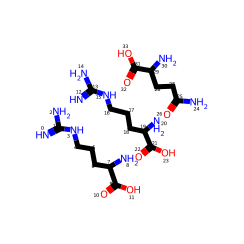 N=C(N)NCCCC(N)C(=O)O.N=C(N)NCCCC(N)C(=O)O.NC(=O)CCC(N)C(=O)O